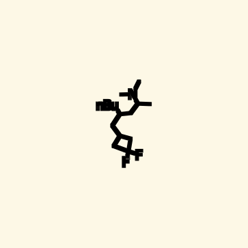 CCCCC(CC1CC(F)(F)C1)CC(C)N(C)C